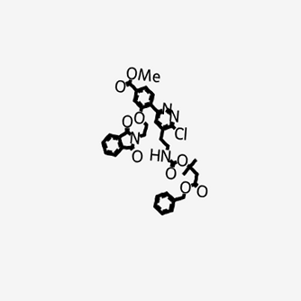 COC(=O)c1ccc(-c2cc(CCNC(=O)OC(C)(C)CC(=O)OCc3ccccc3)c(Cl)nn2)c(OCCN2C(=O)c3ccccc3C2=O)c1